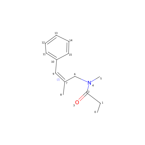 CCC(=O)N(C)C/C(C)=C\c1ccccc1